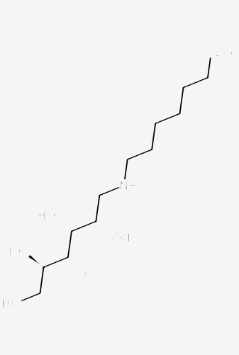 CCCCCCCCCCCCCCCCNC[C@H](O)[C@@H](O)[C@H](O)[C@H](O)CO